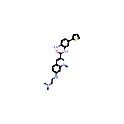 C=Nc1cc(NCCN(C)C)ccc1/C=C(\C)C(=O)Nc1cc(-c2cccs2)ccc1N